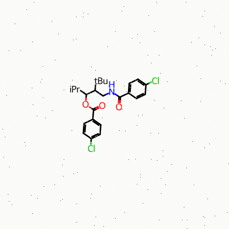 CC(C)C(OC(=O)c1ccc(Cl)cc1)C(CNC(=O)c1ccc(Cl)cc1)C(C)(C)C